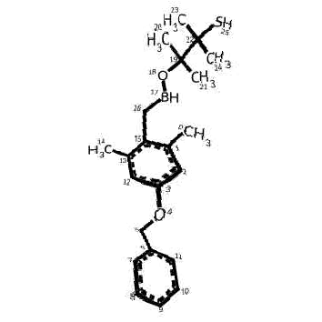 Cc1cc(OCc2ccccc2)cc(C)c1CBOC(C)(C)C(C)(C)S